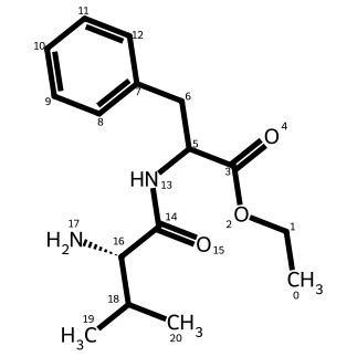 CCOC(=O)C(Cc1ccccc1)NC(=O)[C@@H](N)C(C)C